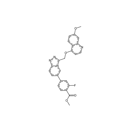 COC(=O)c1ccc(-c2ccc3nnc(COc4ccnc5cc(OC)ccc45)n3c2)cc1F